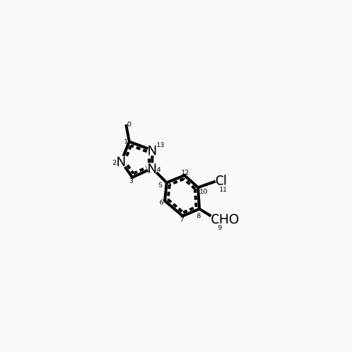 Cc1ncn(-c2ccc(C=O)c(Cl)c2)n1